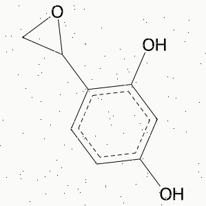 Oc1ccc(C2CO2)c(O)c1